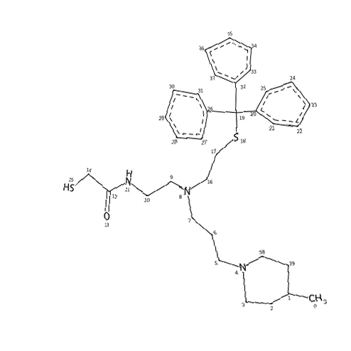 CC1CCN(CCCN(CCNC(=O)CS)CCSC(c2ccccc2)(c2ccccc2)c2ccccc2)CC1